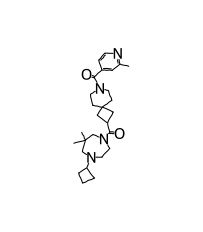 Cc1cc(C(=O)N2CCC3(CC2)CC(C(=O)N2CCN(C4CCC4)CC(C)(C)C2)C3)ccn1